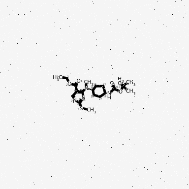 CCOC(=O)c1cnc(SC)nc1N(C)[C@H]1CC[C@H](NC(=O)OC(C)(C)C)CC1